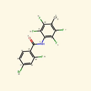 O=C(Nc1c(F)c(F)c(C(F)(F)F)c(F)c1F)c1ccc(Br)cc1F